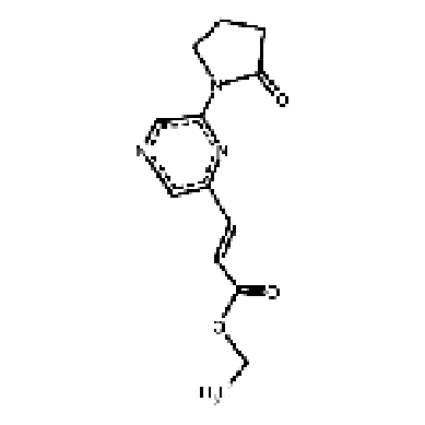 CCOC(=O)/C=C/c1cncc(N2CCCC2=O)n1